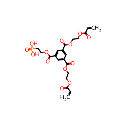 C=CC(=O)OCCOC(=O)c1cc(C(=O)OCCOC(=O)C=C)cc(C(=O)OCCP(=O)(O)O)c1